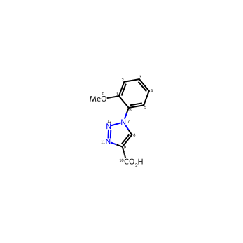 COc1ccccc1-n1cc(C(=O)O)nn1